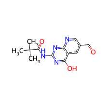 CC(C)(C)C(=O)Nc1nc(O)c2cc(C=O)cnc2n1